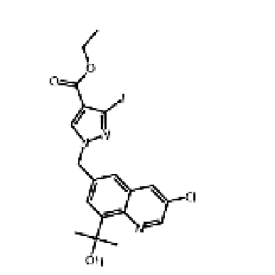 CCOC(=O)c1cn(Cc2cc(C(C)(C)O)c3ncc(Cl)cc3c2)nc1I